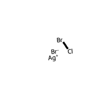 ClBr.[Ag+].[Br-]